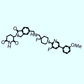 COc1cccc(-c2cnc(N3CCC(F)(CNCc4ccc5c(c4)CN(C4CCC(=O)NC4=O)C5=O)CC3)c(F)c2)c1